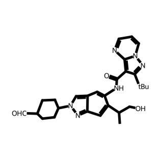 CC(CO)c1cc2nn(C3CCC(C=O)CC3)cc2cc1NC(=O)c1c(C(C)(C)C)nn2cccnc12